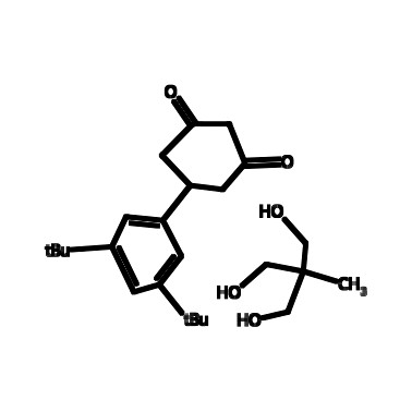 CC(C)(C)c1cc(C2CC(=O)CC(=O)C2)cc(C(C)(C)C)c1.CC(CO)(CO)CO